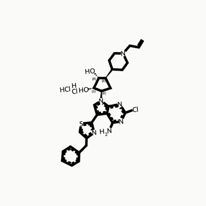 C=CCN1CCC([C@H]2C[C@@H](n3cc(-c4nc(Cc5ccccc5)cs4)c4c(N)nc(Cl)nc43)[C@H](O)[C@@H]2O)CC1.Cl.Cl